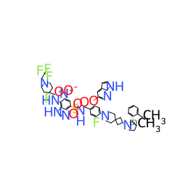 CC(C)c1ccccc1[C@@H]1CCCN1C1CC2(CCN(c3cc(Oc4cnc5[nH]ccc5c4)c(C(=O)NS(=O)(=O)c4cc([N+](=O)[O-])c(NCC5(F)CCN(CC(F)(F)F)CC5)c5[nH]cnc45)cc3F)CC2)C1